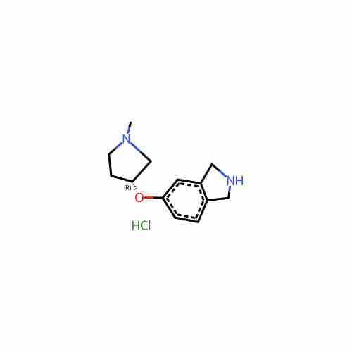 CN1CC[C@@H](Oc2ccc3c(c2)CNC3)C1.Cl